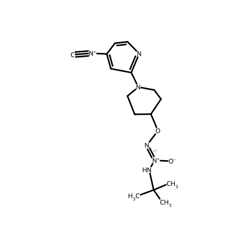 [C-]#[N+]c1ccnc(N2CCC(O/N=[N+](\[O-])NC(C)(C)C)CC2)c1